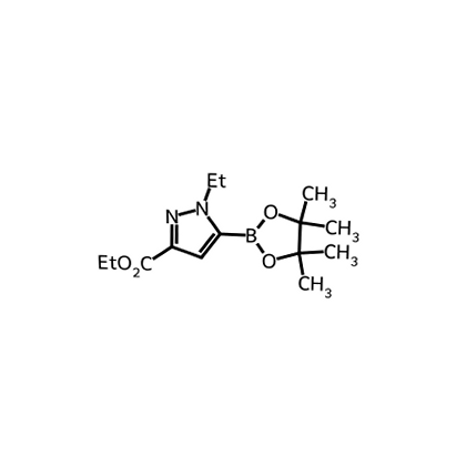 CCOC(=O)c1cc(B2OC(C)(C)C(C)(C)O2)n(CC)n1